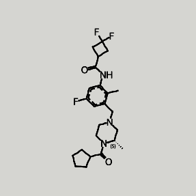 Cc1c(CN2CCN(C(=O)C3CCCC3)[C@@H](C)C2)cc(F)cc1NC(=O)C1CC(F)(F)C1